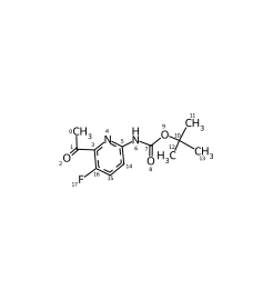 CC(=O)c1nc(NC(=O)OC(C)(C)C)ccc1F